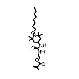 C=C(C)C(=O)OCCNC(=O)NC1CC(C)(C)N(OCCCCCCCC)C(C)(C)C1